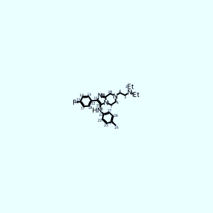 CCN(CC)CCN1CCn2c(nc(-c3ccc(F)cc3)c2Nc2ccc(C)cc2)C1